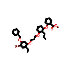 CCCc1c(OCCCOc2cc(OCc3ccccc3)c(Br)cc2CC)cccc1Oc1ccccc1C(=O)OC